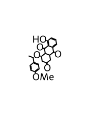 COc1ccc(C(C)OC2CC(=O)CC3C(=O)c4cccc(O)c4C(=O)C23)cc1